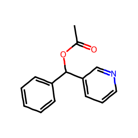 CC(=O)OC(c1ccccc1)c1cccnc1